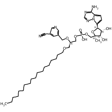 CCCCCCCCCCCCCCCCCCOC[C@H](COP(=O)(O)OC[C@@]1(C)O[C@@H](c2ccc3c(N)ncnn23)[C@H](O)[C@@H]1O)OCc1cncc(C#N)c1